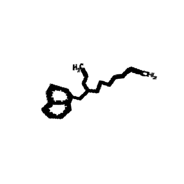 C=CCCCCCC(CC=C)Cc1cccc2ccccc12